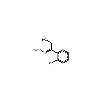 CON=C(CO)c1ccccc1Cl